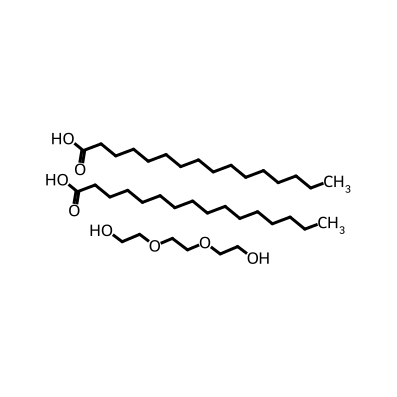 CCCCCCCCCCCCCCCC(=O)O.CCCCCCCCCCCCCCCC(=O)O.OCCOCCOCCO